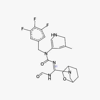 CC1=CC(N(Cc2cc(F)c(F)c(F)c2)C(=O)/N=C(\NC=O)N2CC3CCC2CO3)=CNC1